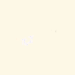 CCCCCN1C[NH+]([O-])N=N1